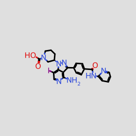 Nc1ncc(I)c2c1c(-c1ccc(C(=O)Nc3ccccn3)cc1)nn2[C@@H]1CCCN(C(=O)O)C1